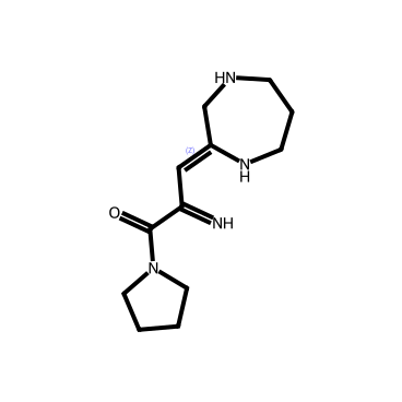 N=C(/C=C1/CNCCCN1)C(=O)N1CCCC1